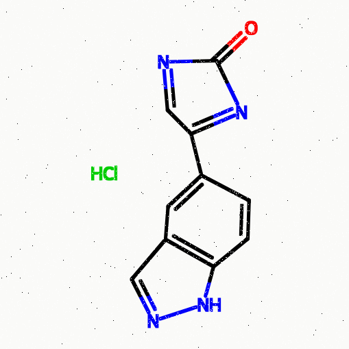 Cl.O=C1N=CC(c2ccc3[nH]ncc3c2)=N1